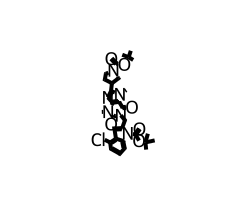 Cn1c(C2CCN(C(=O)OC(C)(C)C)C2)nc2c1c(=O)n(Cc1cc3c(Cl)cccc3n1C(=O)OC(C)(C)C)c(=O)n2C